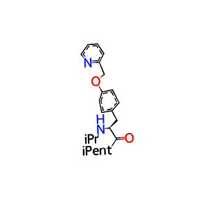 CCCC(C)C(=O)[C@H](Cc1ccc(OCc2ccccn2)cc1)NC(C)C